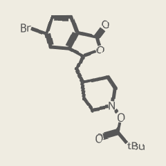 CC(C)(C)C(=O)ON1CCC(CC2OC(=O)c3ccc(Br)cc32)CC1